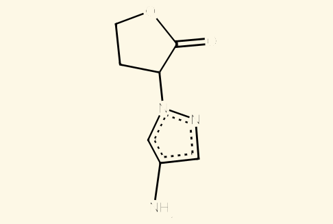 Nc1cnn(C2CCOC2=O)c1